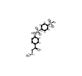 CC(=O)SCC(=O)c1ccc(NS(=O)(=O)c2ccc(S(C)(=O)=O)cc2)cc1